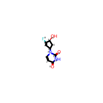 O=c1ccn(C2C=C(F)[C@@H](O)C2)c(=O)[nH]1